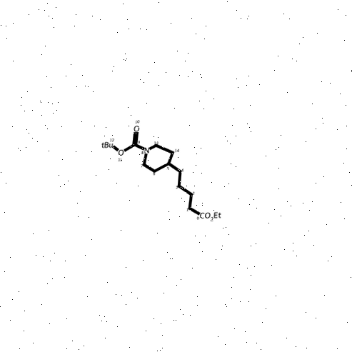 CCOC(=O)CCCCC1CCN(C(=O)OC(C)(C)C)CC1